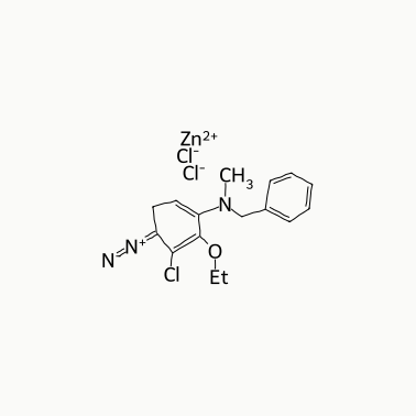 CCOC1=C(Cl)C(=[N+]=[N-])CC=C1N(C)Cc1ccccc1.[Cl-].[Cl-].[Zn+2]